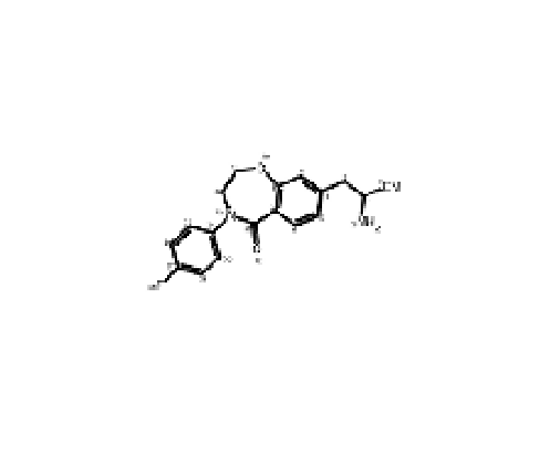 N#C[C@@H](N)Cc1ccc2c(c1)OCCN(c1ccc(F)cc1)C2=O